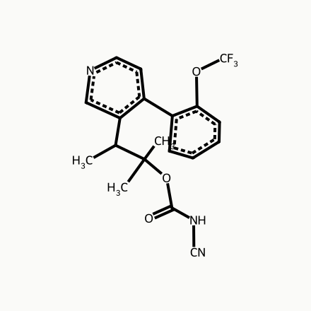 CC(c1cnccc1-c1ccccc1OC(F)(F)F)C(C)(C)OC(=O)NC#N